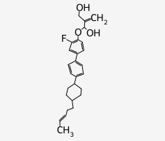 C=C(CO)C(O)Oc1ccc(-c2ccc(C3CCC(CC/C=C/C)CC3)cc2)cc1F